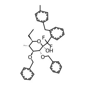 CC[C@H]1O[C@@](O)(C(F)(F)c2ccccc2Cc2ccc(C)cc2)[C@H](OCc2ccccc2)[C@@H](OCc2ccccc2)[C@@H]1C